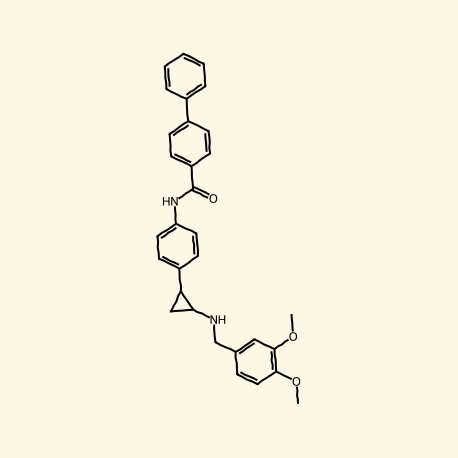 COc1ccc(CNC2CC2c2ccc(NC(=O)c3ccc(-c4ccccc4)cc3)cc2)cc1OC